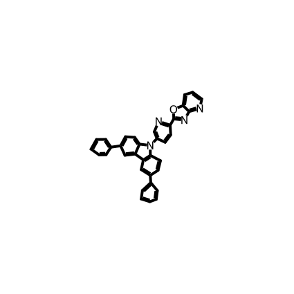 c1ccc(-c2ccc3c(c2)c2cc(-c4ccccc4)ccc2n3-c2ccc(-c3nc4ncccc4o3)nc2)cc1